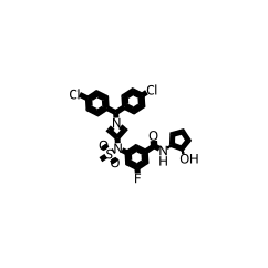 CS(=O)(=O)N(c1cc(F)cc(C(=O)N[C@H]2CCC[C@H]2O)c1)C1CN(C(c2ccc(Cl)cc2)c2ccc(Cl)cc2)C1